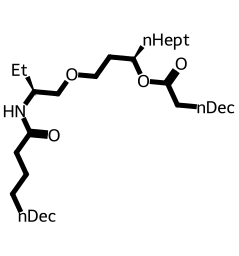 CCCCCCCCCCCCCC(=O)N[C@@H](CC)COCC[C@@H](CCCCCCC)OC(=O)CCCCCCCCCCC